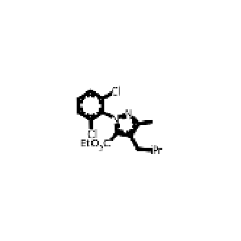 CCOC(=O)c1c(CC(C)C)c(C)nn1-c1c(Cl)cccc1Cl